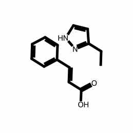 CCc1cc[nH]n1.O=C(O)C=Cc1ccccc1